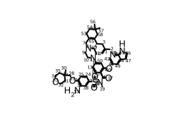 C=C(C)CCC1=C(CN2CCN(c3ccc(C(=O)N(C)S(=O)(=O)c4ccc(OCC5(C)CCOCC5)c(N)c4)c(Oc4cnc5[nH]ccc5c4)c3)CC2)CCC(C)(C)C1